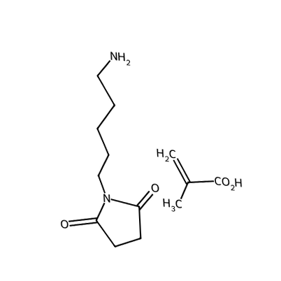 C=C(C)C(=O)O.NCCCCCN1C(=O)CCC1=O